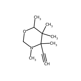 C#CC1(C)N(C)COC(C)C1(C)C